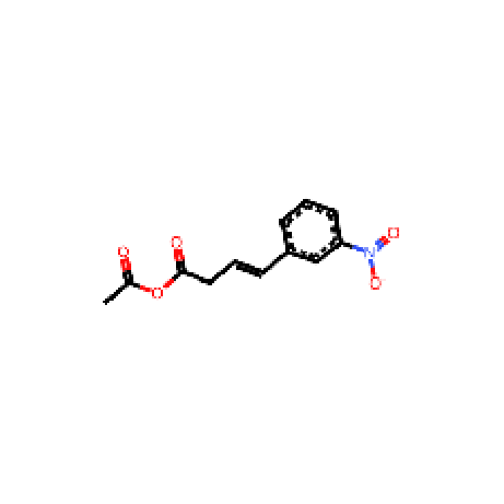 CC(=O)OC(=O)CC=Cc1cccc([N+](=O)[O-])c1